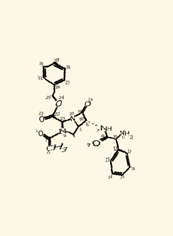 CC(=O)N1CC2[C@@H](NC(=O)C(N)c3ccccc3)C(=O)N2C1C(=O)OCc1ccccc1